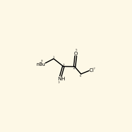 CCCCCC(=N)C(=O)CCl